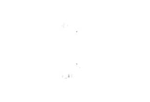 CCC(C)CN1CCC([C@@H](C)CNC(C)C)CC1